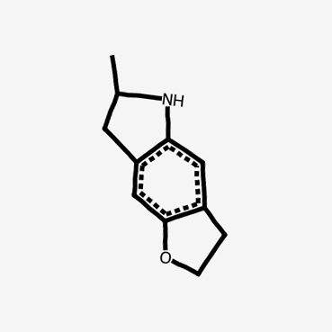 CC1Cc2cc3c(cc2N1)CCO3